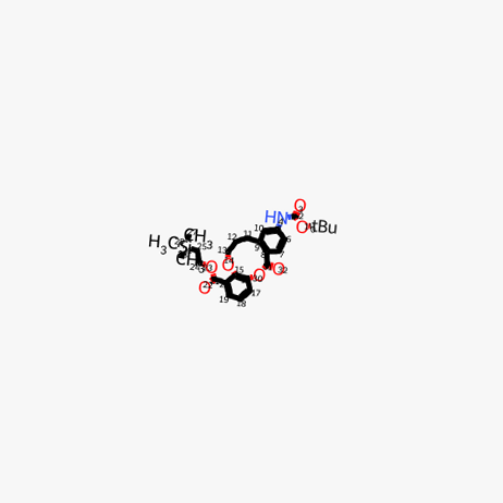 CC(C)(C)OC(=O)Nc1ccc2c(c1)CCCOc1c(cccc1C(=O)OCC[Si](C)(C)C)OC2=O